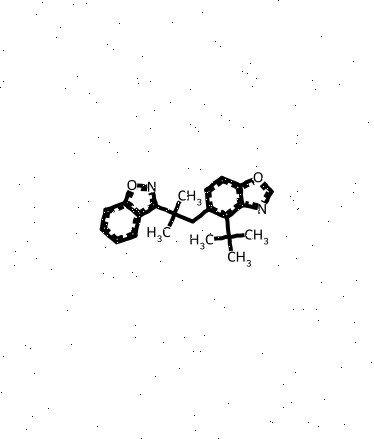 CC(C)(C)c1c(CC(C)(C)c2noc3ccccc23)ccc2ocnc12